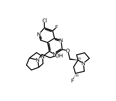 OCCN1C2CCC1CN(c1nc(OC[C@@]34CCCN3C[C@H](F)C4)nc3c(F)c(Cl)ncc13)C2